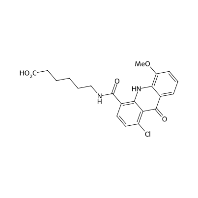 COc1cccc2c(=O)c3c(Cl)ccc(C(=O)NCCCCCC(=O)O)c3[nH]c12